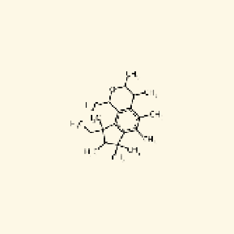 CCC1(C)c2c3c(c(C)c(C)c2C(C)(C)C1C)C(C)C(C)OC3C